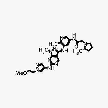 COCCn1cc(Nc2ncc3c(Nc4cc(NC(=O)CN5CCC[C@@H]5C)cnc4C)nn(C)c3n2)cn1